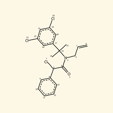 C=CCN(C(=O)C(Cl)c1ccccc1)C(C)(C)c1cc(Cl)cc(Cl)c1